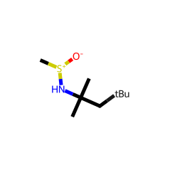 C[S+]([O-])NC(C)(C)CC(C)(C)C